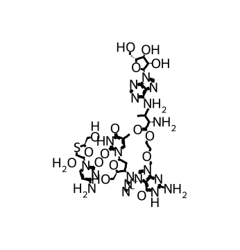 CC(C)[C@H](N)C(=O)OCCOCn1cnc2c(=O)[nH]c(N)nc21.Cc1cn([C@H]2C[C@H](N=[N+]=[N-])[C@@H](CO)O2)c(=O)[nH]c1=O.Nc1ccn([C@H]2CS[C@@H](CO)O2)c(=O)n1.Nc1ncnc2c1ncn2[C@@H]1O[C@H](CO)[C@@H](O)[C@@H]1O.O